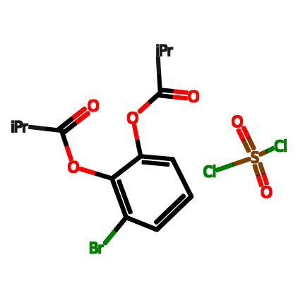 CC(C)C(=O)Oc1cccc(Br)c1OC(=O)C(C)C.O=S(=O)(Cl)Cl